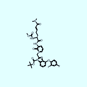 COC(=O)N[C@@H](CC/C=C/C(=O)N(C)C)C(=O)Nc1cccn(Cc2nc3c(Oc4ccc(F)cc4F)cccc3n2C(=O)OC(C)(C)C)c1=O